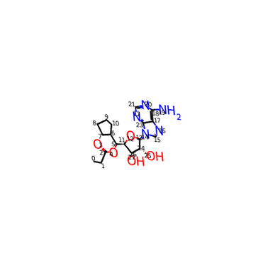 CCC(=O)OC(C1CCCC1)[C@H]1O[C@@H](n2cnc3c(N)ncnc32)[C@H](O)[C@@H]1O